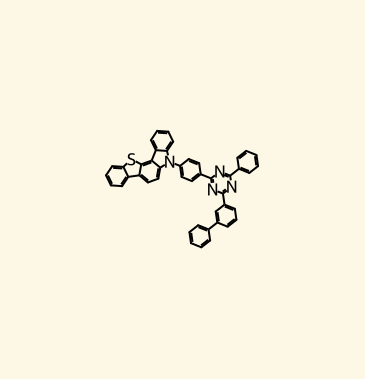 c1ccc(-c2cccc(-c3nc(-c4ccccc4)nc(-c4ccc(-n5c6ccccc6c6c7sc8ccccc8c7ccc65)cc4)n3)c2)cc1